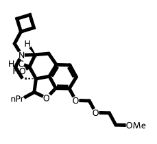 CCCC1Oc2c(OCOCCOC)ccc3c2[C@@]12CCN(CC1CCC1)[C@H](C3)C2(C)O